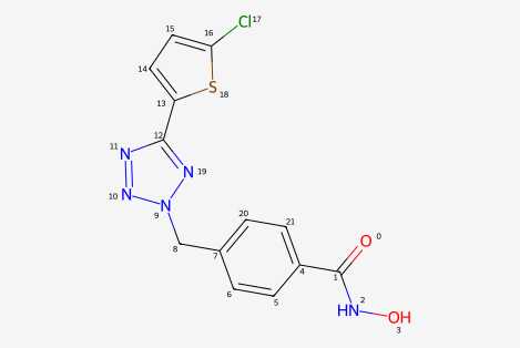 O=C(NO)c1ccc(Cn2nnc(-c3ccc(Cl)s3)n2)cc1